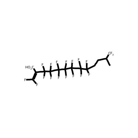 CC(CCC(F)(F)C(F)(F)C(F)(F)C(F)(F)C(F)(F)C(F)(F)C(F)(F)C(C(=O)O)=C(F)F)C(F)(F)F